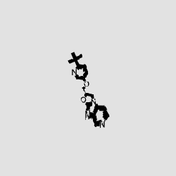 CC(C)(C)c1ccc(OC[C@@H]2Cn3c(nc4cnccc43)O2)cn1